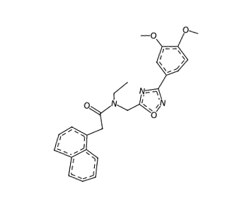 CCN(Cc1nc(-c2ccc(OC)c(OC)c2)no1)C(=O)Cc1cccc2ccccc12